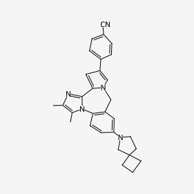 Cc1nc2n(c1C)-c1ccc(N3CCC4(CCC4)C3)cc1Cn1cc(-c3ccc(C#N)cc3)cc1-2